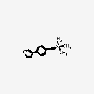 C[Si](C)(C)C#Cc1ccc(-c2ccoc2)cc1